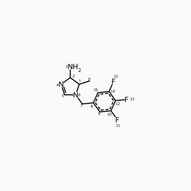 CC1C(N)N=CN1Cc1cc(F)c(F)c(F)c1